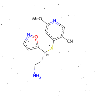 COc1cc(S[C@H](CCN)c2ccno2)c(C#N)cn1